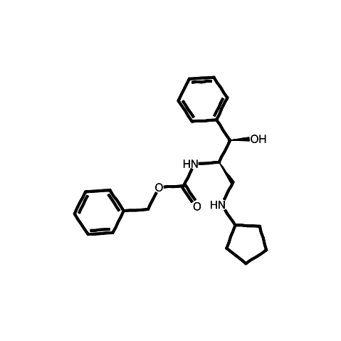 O=C(N[C@H](CNC1CCCC1)[C@H](O)c1ccccc1)OCc1ccccc1